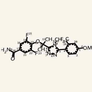 COc1ccc(-c2nnc(C(C)(C)Oc3c(F)cc(C(N)=O)cc3F)n2C)c(C(F)(F)F)c1